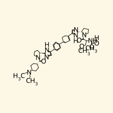 CCN(CC)[C@H]1CC[C@@H](C(=O)N2CCC[C@H]2c2ncc(-c3ccc(C4=CC=C(c5cnc([C@@H]6CCCN6C(=O)[C@@H](NC(=O)O)[C@@H](C)OC)[nH]5)CC4)cc3)[nH]2)CC1